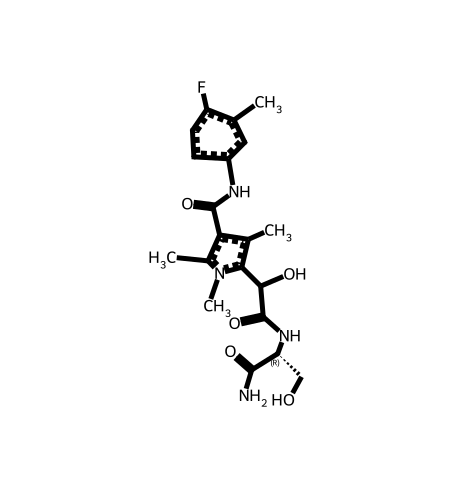 Cc1cc(NC(=O)c2c(C)c(C(O)C(=O)N[C@H](CO)C(N)=O)n(C)c2C)ccc1F